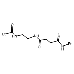 CCNC(=O)CCC(=O)NCCNC(=O)CC